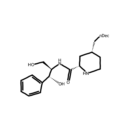 CCCCCCCCCCC[C@@H]1CCN[C@H](C(=O)N[C@H](CO)[C@H](O)c2ccccc2)C1